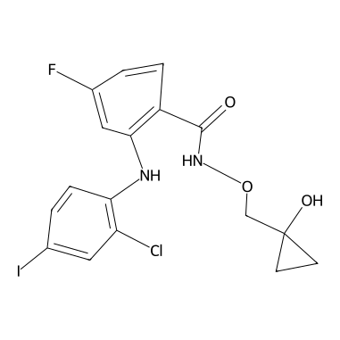 O=C(NOCC1(O)CC1)c1ccc(F)cc1Nc1ccc(I)cc1Cl